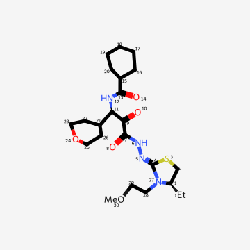 CC[C@@H]1CS/C(=N\NC(=O)C(=O)[C@H](NC(=O)C2CCCCC2)C2CCOCC2)N1CCOC